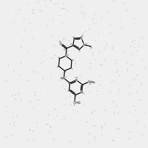 COc1nc(C=O)cc(NC2CCN(C(=O)c3cnn(C)c3)CC2)n1